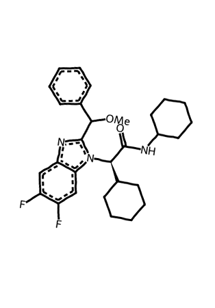 COC(c1ccccc1)c1nc2cc(F)c(F)cc2n1[C@@H](C(=O)NC1CCCCC1)C1CCCCC1